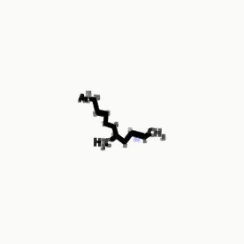 C/C=C/CC(C)CCC=CCC(C)=O